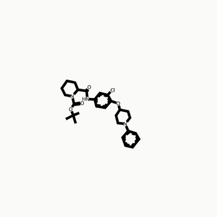 CC(C)(C)OC(=O)N1CCCCC1C(=O)Nc1ccc(OC2CCN(c3ccccc3)CC2)c(Cl)c1